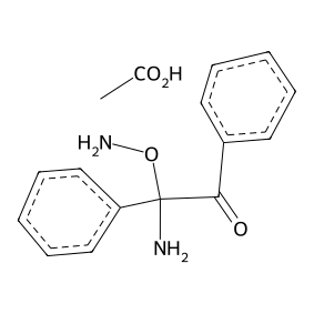 CC(=O)O.NOC(N)(C(=O)c1ccccc1)c1ccccc1